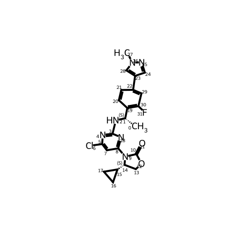 C[C@H](Nc1nc(Cl)cc(N2C(=O)OC[C@@H]2C2CC2)n1)c1ccc(-c2cnn(C)c2)cc1F